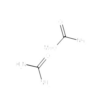 COC(N)=O.NC(N)=O